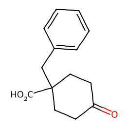 O=C1CCC(Cc2ccccc2)(C(=O)O)CC1